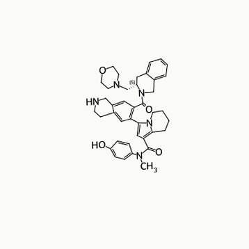 CN(C(=O)c1cc(-c2cc3c(cc2C(=O)N2Cc4ccccc4C[C@H]2CN2CCOCC2)CNCC3)n2c1CCCC2)c1ccc(O)cc1